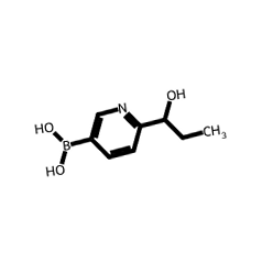 CCC(O)c1ccc(B(O)O)cn1